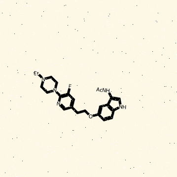 CCN1CCN(c2ncc(CCOc3ccc4[nH]cc(NC(C)=O)c4c3)cc2F)CC1